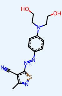 Cc1nsc(/N=N/c2ccc(N(CCO)CCO)cc2)c1C#N